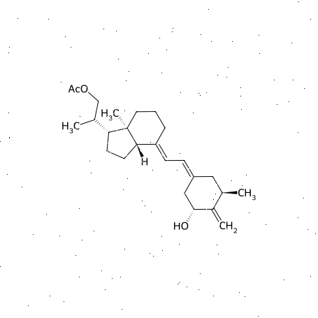 C=C1[C@H](C)C/C(=C/C=C2\CCC[C@]3(C)[C@@H](C(C)COC(C)=O)CC[C@@H]23)C[C@H]1O